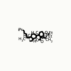 C=CCC12C[C@@H](O[Si](CC)(CC)CC)CC[C@]1(C)C1=C(OC2=O)[C@@H]2CC[C@H]([C@H](C)CCCC(C)C)[C@@]2(C)CC1